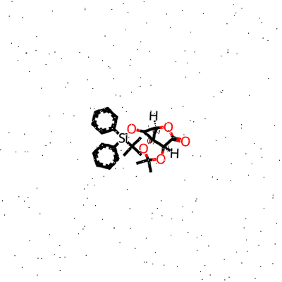 CC1(C)O[C@H]2C(=O)O[C@@H]3C(O[Si](c4ccccc4)(c4ccccc4)C(C)(C)C)[C@@]32O1